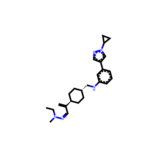 C=C(/C=N\N(C)CC)[C@H]1CC[C@H](CNc2cccc(-c3cnn(C4CC4)c3)c2)CC1